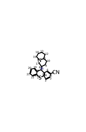 N#Cc1ccc2c(c1)/C(=C1\CCC3CCCCN3C1)c1ccccc1S2